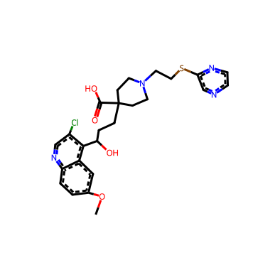 COc1ccc2ncc(Cl)c(C(O)CCC3(C(=O)O)CCN(CCSc4cnccn4)CC3)c2c1